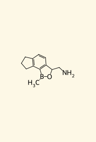 CB1OC(CN)c2ccc3c(c21)CCC3